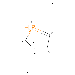 C1=[PH2]CCC1